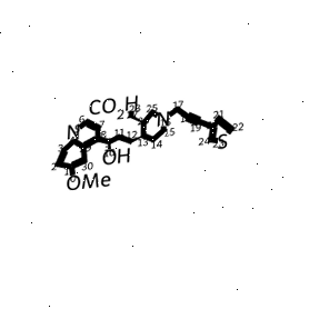 COc1ccc2nccc([C@H](O)CC[C@@H]3CCN(CC#Cc4ccsc4)C[C@@H]3CC(=O)O)c2c1